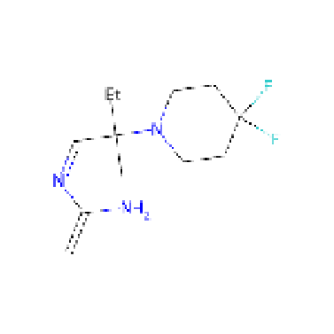 C=C(N)/N=C\C(C)(CC)N1CCC(F)(F)CC1